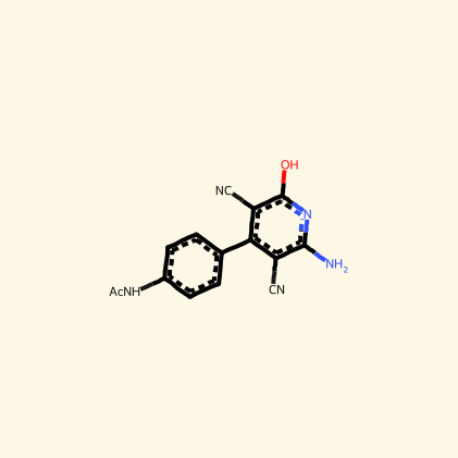 CC(=O)Nc1ccc(-c2c(C#N)c(N)nc(O)c2C#N)cc1